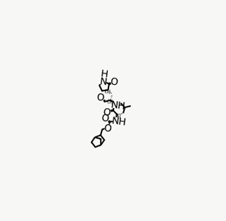 CC(C)C[C@H](NC(=O)OCC1CC2CCC1C2)C(=O)N[C@H](C=O)C[C@@H]1CCNC1=O